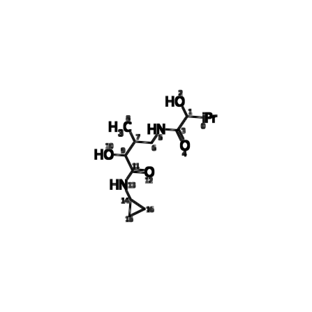 CC(C)C(O)C(=O)NCC(C)C(O)C(=O)NC1CC1